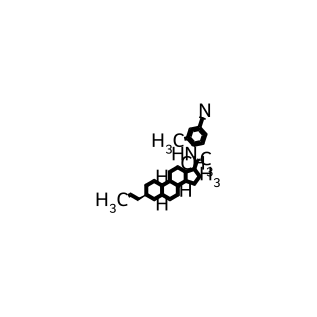 CCC[C@H]1CC[C@@H]2C3CC[C@@]4(C)C(CCC4[C@H](C)Nc4ccc(C#N)cc4C)[C@@H]3CC[C@@H]2C1